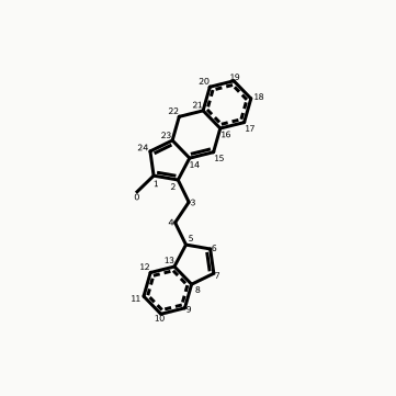 CC1=C(CCC2C=Cc3ccccc32)C2=Cc3ccccc3CC2=C1